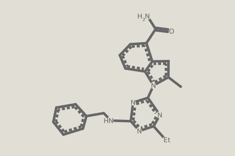 CCc1nc(NCc2ccccc2)nc(-n2c(C)cc3c(C(N)=O)cccc32)n1